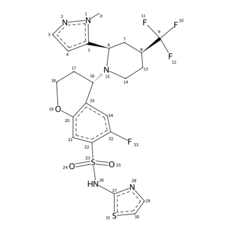 Cn1nccc1[C@H]1C[C@@H](C(F)(F)F)CCN1[C@H]1CCOc2cc(S(=O)(=O)Nc3nccs3)c(F)cc21